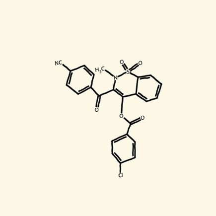 CN1C(C(=O)c2ccc(C#N)cc2)=C(OC(=O)c2ccc(Cl)cc2)c2ccccc2S1(=O)=O